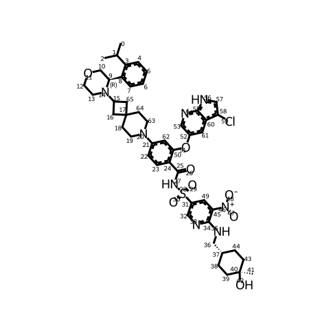 CC(C)c1ccccc1[C@@H]1COCCN1C1CC2(CCN(c3ccc(C(=O)NS(=O)(=O)c4cnc(NC[C@H]5CC[C@](C)(O)CC5)c([N+](=O)[O-])c4)c(Oc4cnc5[nH]cc(Cl)c5c4)c3)CC2)C1